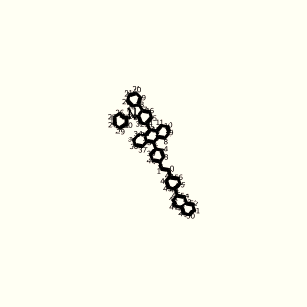 C(=C\c1ccc(-c2c3ccccc3c(-c3ccc4c5ccccc5n(-c5ccccc5)c4c3)c3ccccc23)cc1)/c1ccc(-c2ccc3ccccc3c2)cc1